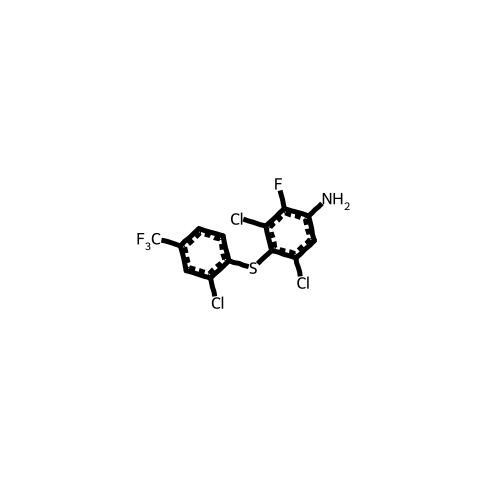 Nc1cc(Cl)c(Sc2ccc(C(F)(F)F)cc2Cl)c(Cl)c1F